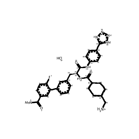 CNC(=O)c1ccc(F)c(-c2cccc(C[C@H](NC(=O)C3CCC(CN)CC3)C(=O)Nc3ccc(-c4nnn[nH]4)cc3)c2)c1.Cl